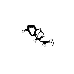 O=C1C(C(=O)C(F)(F)F)SC2Sc3ccc(Cl)cc3N12